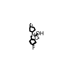 COC(O)N(Cc1ccc(F)cc1)C1CCN(C)CC1